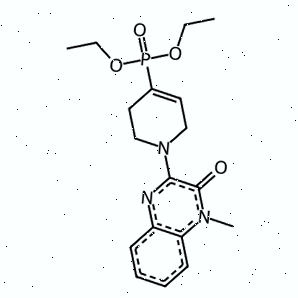 CCOP(=O)(OCC)C1=CCN(c2nc3ccccc3n(C)c2=O)CC1